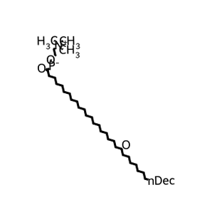 CCCCCCCCCCCCCCCCCC(=O)CCCCCCCCCCCCCCCCCCCC(=O)[P-]OCC[N+](C)(C)C